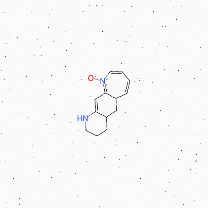 [O-][N+]1=C2C=C3NCCCC3CC2C=CC=C1